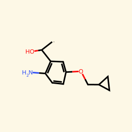 [CH2]C(O)c1cc(OCC2CC2)ccc1N